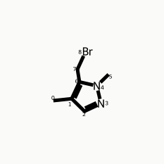 Cc1cnn(C)c1CBr